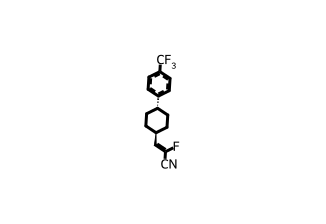 N#C/C(F)=C/[C@H]1CC[C@H](c2ccc(C(F)(F)F)cc2)CC1